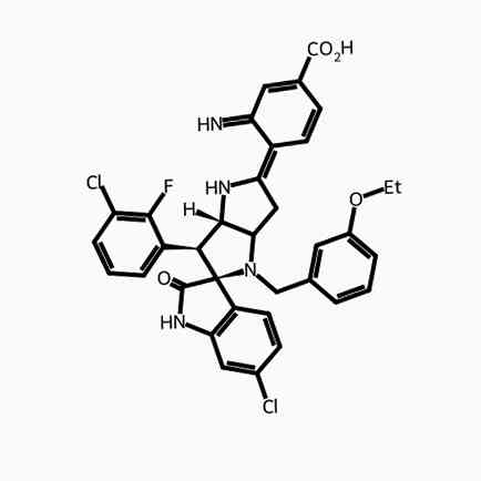 CCOc1cccc(CN2C3C/C(=C4\C=CC(C(=O)O)=CC4=N)N[C@H]3[C@H](c3cccc(Cl)c3F)[C@]23C(=O)Nc2cc(Cl)ccc23)c1